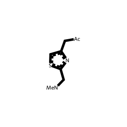 CNCc1nc(CC(C)=O)cs1